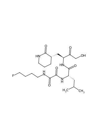 CC(C)C[C@H](NC(=O)C(=O)NCCCCF)C(=O)N[C@@H](C[C@@H]1CCCNC1=O)C(=O)CO